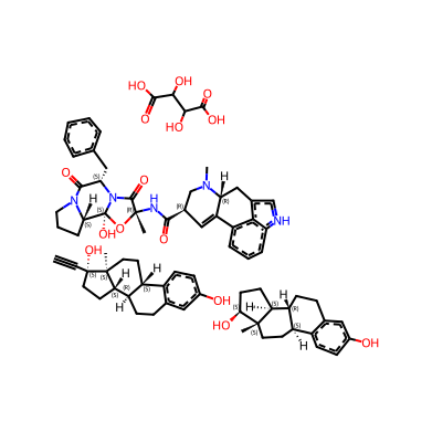 C#C[C@]1(O)CC[C@H]2[C@@H]3CCc4cc(O)ccc4[C@H]3CC[C@@]21C.CN1C[C@H](C(=O)N[C@]2(C)O[C@@]3(O)[C@@H]4CCCN4C(=O)[C@H](Cc4ccccc4)N3C2=O)C=C2c3cccc4[nH]cc(c34)C[C@H]21.C[C@]12CC[C@@H]3c4ccc(O)cc4CC[C@H]3[C@@H]1CC[C@@H]2O.O=C(O)C(O)C(O)C(=O)O